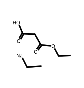 CCOC(=O)CC(=O)O.C[CH2][Na]